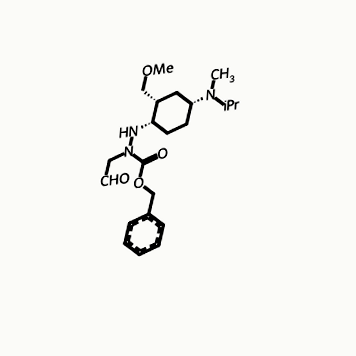 COC[C@@H]1C[C@H](N(C)C(C)C)CC[C@@H]1NN(CC=O)C(=O)OCc1ccccc1